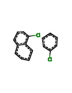 Clc1cccc2ccccc12.Clc1ccccc1